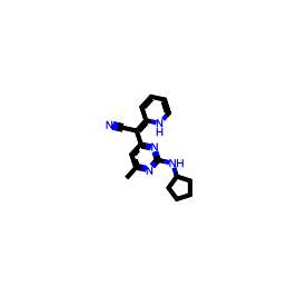 Cc1cc(/C(C#N)=C2/C=CC=CN2)nc(NC2CCCC2)n1